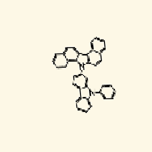 c1ccc(-n2c3ccccc3c3ccc(-n4c5ccc6ccccc6c5c5ccc6ccccc6c54)cc32)cc1